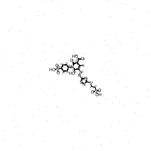 Cc1c(N=Nc2nc(SCCS(=O)(=O)O)ns2)c(O)n(-c2ccc(S(=O)(=O)O)cc2)c(=O)c1C(=O)O